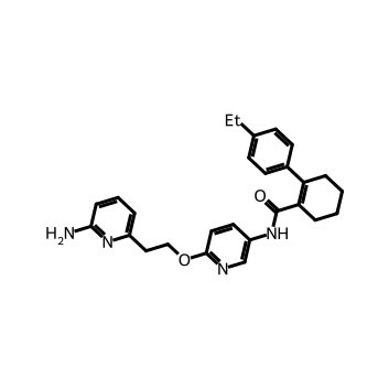 CCc1ccc(C2=C(C(=O)Nc3ccc(OCCc4cccc(N)n4)nc3)CCCC2)cc1